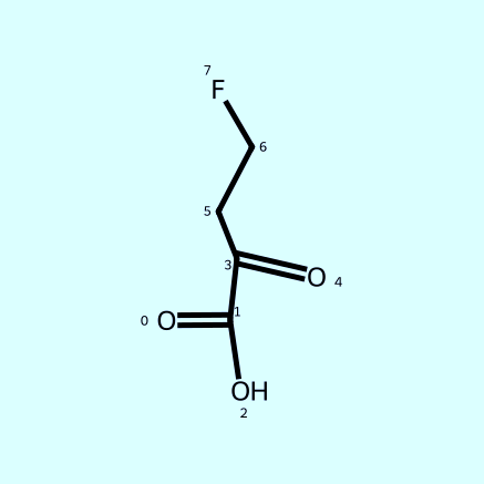 O=C(O)C(=O)CCF